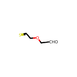 O=CCOCC=S